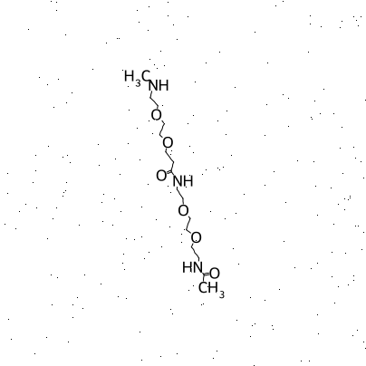 CNCCOCCOCCC(=O)NCCOCCOCCNC(C)=O